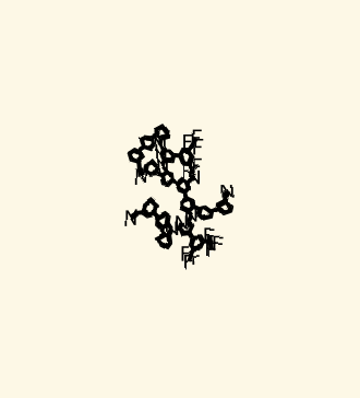 N#Cc1cccc(-c2ccc3c(c2)c2ccccc2n3-c2cc(-c3cc(C(F)(F)F)cc(C(F)(F)F)c3)cc(-n3c4ccc(-c5cccc(C#N)c5)cc4c4cc(-c5cc(C#N)cc(-c6ccc7c8ccccc8n(-c8cc(-c9cc(C(F)(F)F)cc(C(F)(F)F)c9)cc(-n9c%10ccccc%10c%10ccc(-c%11cccc(C#N)c%11)cc%109)n8)c7c6)c5)ccc43)n2)c1